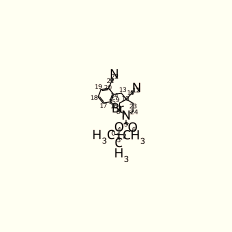 CC(C)(C)OC(=O)N1CCC(C#N)(Cc2c(Br)cccc2C#N)CC1